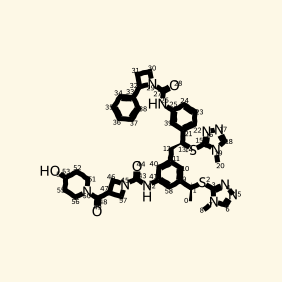 C[C@H](Sc1nncn1C)c1cc(C[C@H](Sc2nncn2C)c2cccc(NC(=O)N3CCC3c3ccccc3)c2)cc(NC(=O)N2CC(C(=O)N3CCC(O)CC3)C2)c1